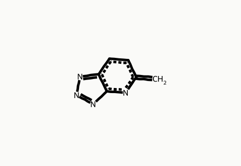 C=c1ccc2c(n1)N=NN=2